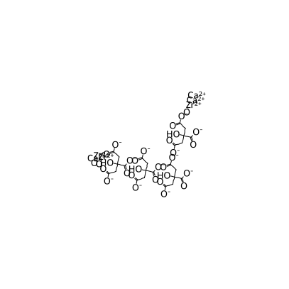 O=C([O-])CC(O)(CC(=O)[O-])C(=O)[O-].O=C([O-])CC(O)(CC(=O)[O-])C(=O)[O-].O=C([O-])CC(O)(CC(=O)[O-])C(=O)[O-].O=C([O-])CC(O)(CC(=O)[O-])C(=O)[O-].[Ca+2].[Ca+2].[Ca+2].[O]=[Zr+2].[O]=[Zr+2].[O]=[Zr+2]